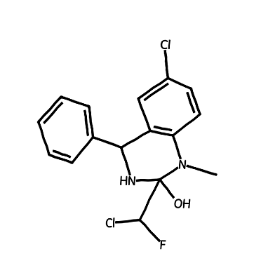 CN1c2ccc(Cl)cc2C(c2ccccc2)NC1(O)C(F)Cl